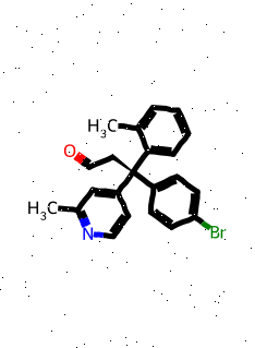 Cc1cc([C@@](CC=O)(c2ccc(Br)cc2)c2ccccc2C)ccn1